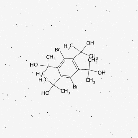 CC(C)(O)c1c(Br)c(C(C)(C)O)c(C(C)(C)O)c(Br)c1C(C)(C)O